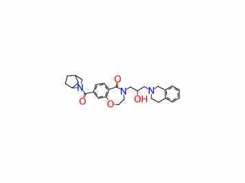 O=C1c2ccc(C(=O)N3CC4CCC3C4)cc2OCCN1CC(O)CN1CCc2ccccc2C1